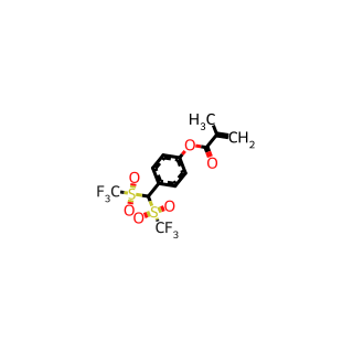 C=C(C)C(=O)Oc1ccc(C(S(=O)(=O)C(F)(F)F)S(=O)(=O)C(F)(F)F)cc1